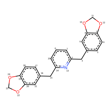 c1cc(Cc2ccc3c(c2)OCO3)nc(Cc2ccc3c(c2)OCO3)c1